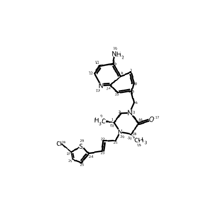 C[C@H]1CN(Cc2ccc3c(N)ccnc3c2)C(=O)[C@H](C)N1CC=Cc1ccc(Cl)s1